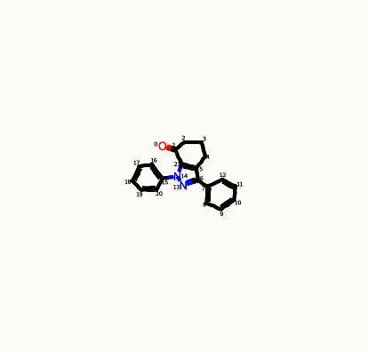 O=C1CCCc2c(-c3ccccc3)nn(-c3ccccc3)c21